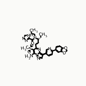 CCCN(C(=O)c1nnc[nH]1)[C@H](CC)CCc1nc2c(-c3ccc(-c4ccc5c(c4)OCO5)nc3)cnn2c(N)c1S(C)(=O)=O